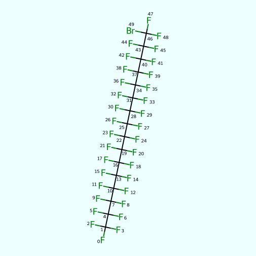 FC(F)(F)C(F)(F)C(F)(F)C(F)(F)C(F)(F)C(F)(F)C(F)(F)C(F)(F)C(F)(F)C(F)(F)C(F)(F)C(F)(F)C(F)(F)C(F)(F)C(F)(F)C(F)(F)Br